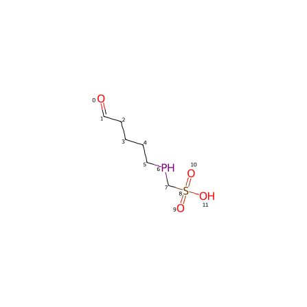 O=CCCCCPCS(=O)(=O)O